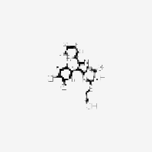 C#CCSc1nc2c(-c3ccc(Cl)c(Cl)c3)c(-c3ccccn3)nn2c(=O)[nH]1